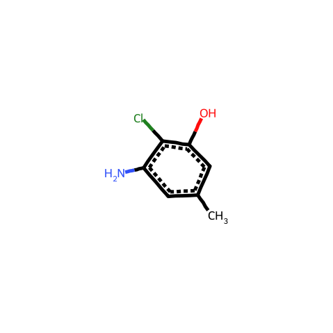 Cc1cc(N)c(Cl)c(O)c1